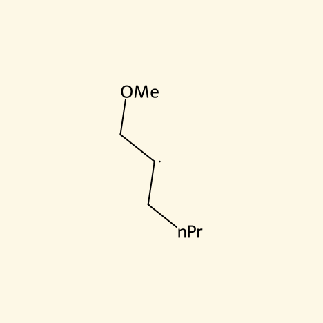 CCCC[CH]COC